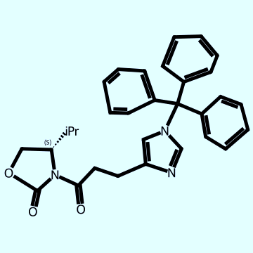 CC(C)[C@H]1COC(=O)N1C(=O)CCc1cn(C(c2ccccc2)(c2ccccc2)c2ccccc2)cn1